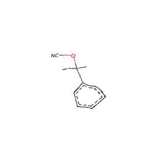 CC(C)(OC#N)c1ccccc1